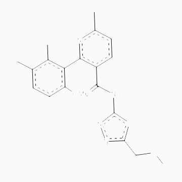 CCOCc1nnc(NC(=O)c2ccc(C)nc2-c2c(OC)ccc(Cl)c2F)s1